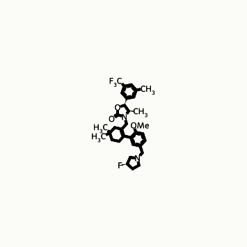 COc1ccc(CN2CC[C@H](F)C2)cc1C1=C(CN2C(=O)O[C@H](c3cc(C)cc(C(F)(F)F)c3)[C@@H]2C)CC(C)(C)CC1